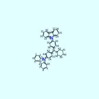 c1ccc2c(c1)c1ccccc1n2-c1ccc(C(c2ccc(-n3c4ccccc4c4ccccc43)cc2)C2CCCCC2)cc1